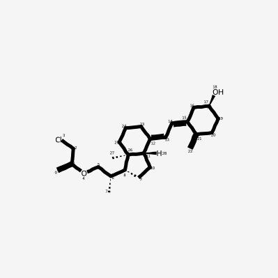 C=C(CCl)OC[C@@H](C)[C@H]1CC[C@H]2/C(=C/C=C3/C[C@@H](O)CCC3=C)CCC[C@]12C